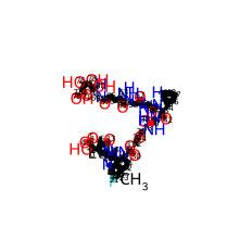 CC[C@@]1(O)C(=O)OCc2c1cc1n(c2=O)Cc2c-1nc1cc(F)c(C)c3c1c2[C@@H](NC(=O)OCCOCNC(=O)CNC(=O)[C@H](Cc1ccccc1)NC(=O)CNC(=O)CNC(=O)[C@@H](N)CCC(=O)NC[C@@H]1O[C@H](CO)[C@@H](O)[C@H](O)[C@H]1O)CC3